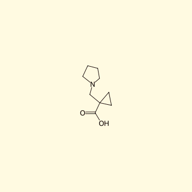 O=C(O)C1(CN2CCCC2)CC1